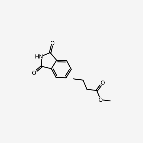 CCCC(=O)OC.O=C1NC(=O)c2ccccc21